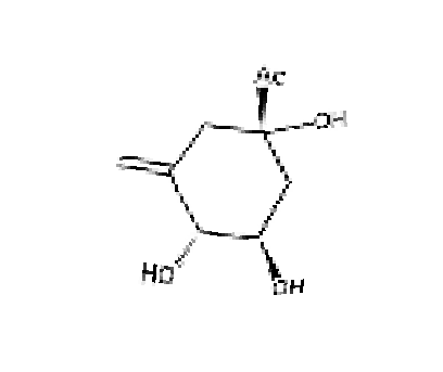 C=C1C[C@@](O)(C(C)=O)C[C@@H](O)[C@@H]1O